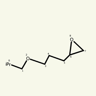 CC(C)COCCCC1CO1